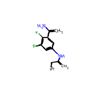 C=C(CC(C)C)Nc1cc(F)c(F)c(C(=C)N)c1